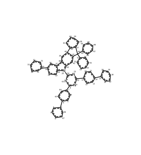 c1ccc(-c2ccc(-c3nc(-c4ccc(-c5ccccc5)cc4)nc(-n4c5ccc(-c6ccccc6)cc5c5cc6c(cc54)C(c4ccccc4)(c4ccccc4)c4ccccc4-6)n3)cc2)cc1